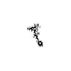 NC(=O)C1CC(F)(CF)CN1C(=O)CNC(=O)CCCOc1ccc(F)cc1